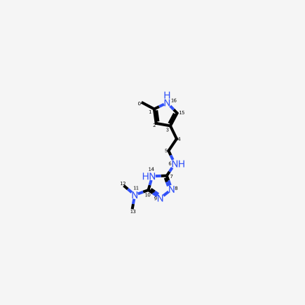 Cc1cc(CCNc2nnc(N(C)C)[nH]2)c[nH]1